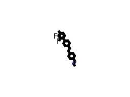 C/C=C/C1CCC(CCC2CC=C(c3ccc(C)c(F)c3F)CC2)CC1